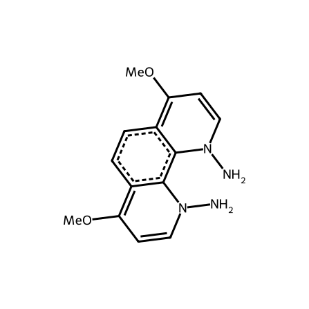 COC1=c2ccc3c(c2N(N)C=C1)N(N)C=CC=3OC